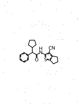 N#Cc1c(NC(=O)C(c2ccccc2)C2CCCC2)sc2c1CCC2